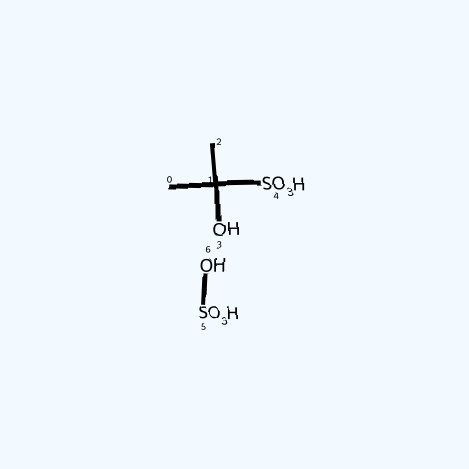 CC(C)(O)S(=O)(=O)O.O=S(=O)(O)O